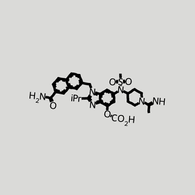 CC(=N)N1CCC(N(c2cc(OC(=O)O)c3nc(C(C)C)n(Cc4ccc5ccc(C(N)=O)cc5c4)c3c2)S(C)(=O)=O)CC1